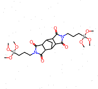 CO[Si](CCCN1C(=O)C2C3CC(C2C1=O)C1C(=O)N(CCC[Si](OC)(OC)OC)C(=O)C31)(OC)OC